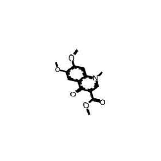 COC(=O)c1cn(C)c2cc(OC)c(OC)cc2c1=O